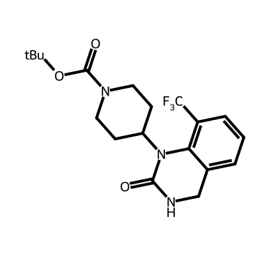 CC(C)(C)OC(=O)N1CCC(N2C(=O)NCc3cccc(C(F)(F)F)c32)CC1